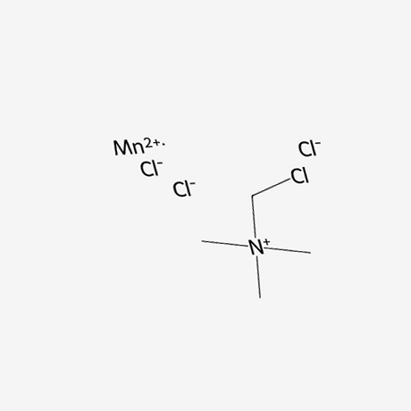 C[N+](C)(C)CCl.[Cl-].[Cl-].[Cl-].[Mn+2]